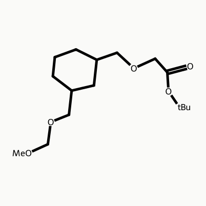 COCOCC1CCCC(COCC(=O)OC(C)(C)C)C1